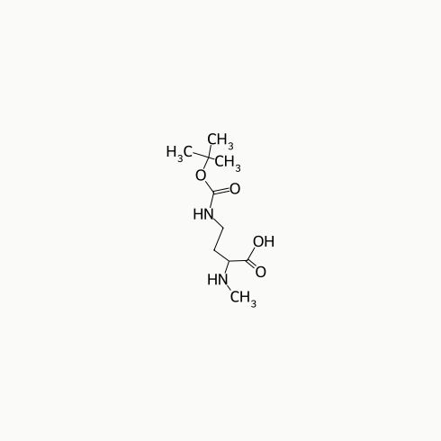 CNC(CCNC(=O)OC(C)(C)C)C(=O)O